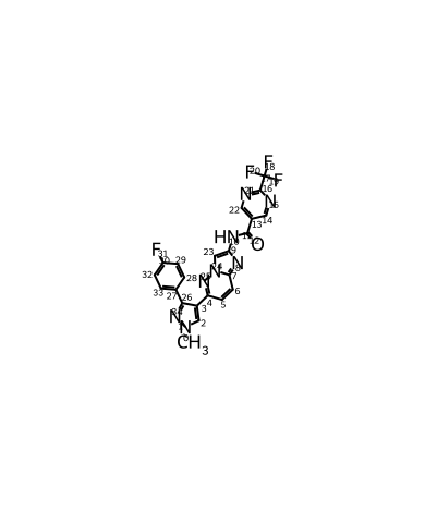 Cn1cc(-c2ccc3nc(NC(=O)c4cnc(C(F)(F)F)nc4)cn3n2)c(-c2ccc(F)cc2)n1